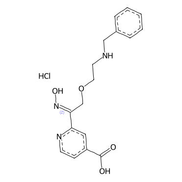 Cl.O=C(O)c1ccnc(/C(COCCNCc2ccccc2)=N/O)c1